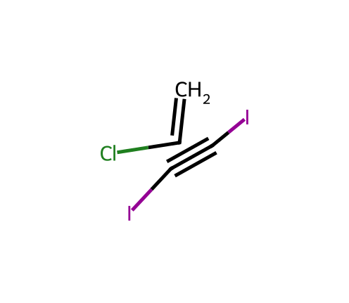 C=CCl.IC#CI